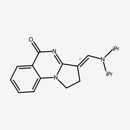 CC(C)N(/C=C1\CCn2c1nc(=O)c1ccccc12)C(C)C